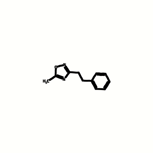 Cc1nc(CCc2ccccc2)no1